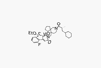 CCOC(=O)c1cn(CC2(O)CCN(C(=O)[C@H](C)CC3CCCCC3)CC23CCCC3)c(=O)cc1-c1ccccc1F